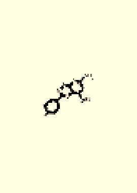 CCOc1nc(N)nc2nnc(-c3ccc(F)cc3)nc12